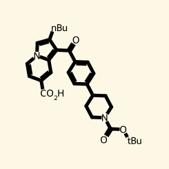 CCCCc1cn2ccc(C(=O)O)cc2c1C(=O)c1ccc(C2CCN(C(=O)OC(C)(C)C)CC2)cc1